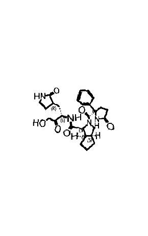 O=C1CC[C@](C(=O)N2C[C@H]3CCC[C@H]3[C@H]2C(=O)N[C@@H](C[C@H]2CCNC2=O)C(=O)CO)(c2ccccc2)N1